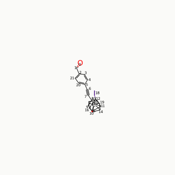 O=Cc1ccc(C#C[C]23[CH]4[CH]5[CH]6[CH]2[Fe]56432789[CH]3[CH]2[CH]7[C]8(I)[CH]39)cc1